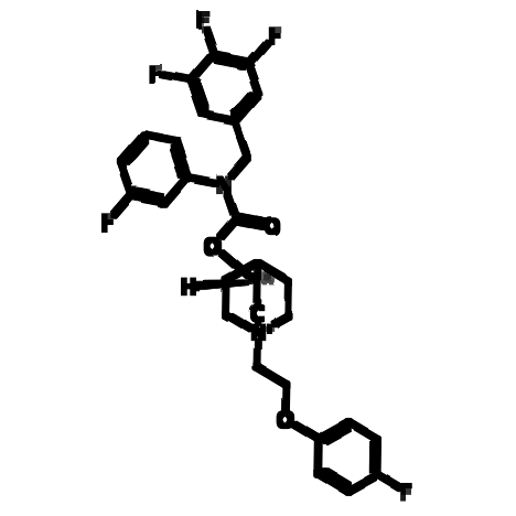 O=C(O[C@H]1C[N+]2(CCOc3ccc(F)cc3)CCC1CC2)N(Cc1cc(F)c(F)c(F)c1)c1cccc(F)c1